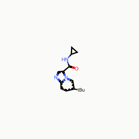 CC(C)(C)c1ccc2ncc(C(=O)NC3CC3)n2c1